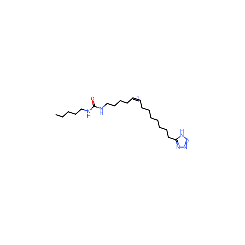 CCCCCNC(=O)NCCCC/C=C\CCCCCCCc1nnn[nH]1